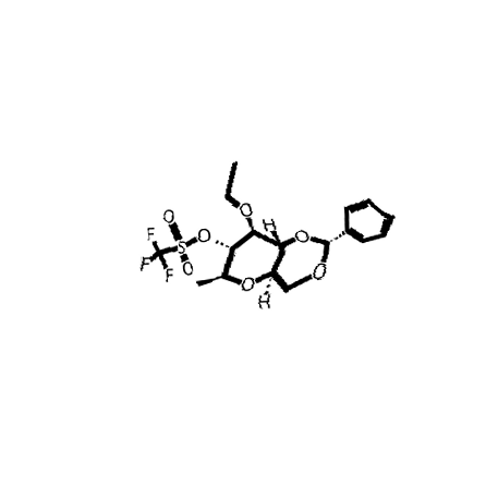 CCO[C@@H]1[C@@H](OS(=O)(=O)C(F)(F)F)[C@H](C)O[C@@H]2CO[C@@H](c3ccccc3)O[C@@H]12